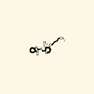 CCCCCOc1ccnc(CSc2nc3ccccc3[nH]2)c1C